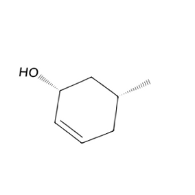 C[C@@H]1CC=C[C@H](O)C1